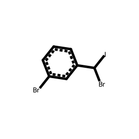 Brc1cccc(C(Br)I)c1